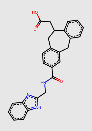 O=C(O)CC1Cc2ccc(C(=O)NCc3nc4ccccc4[nH]3)cc2Cc2ccccc21